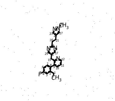 CCc1cc(F)ccc1-c1cccnc1Cc1cnc(CCc2cnn(C)c2)nc1